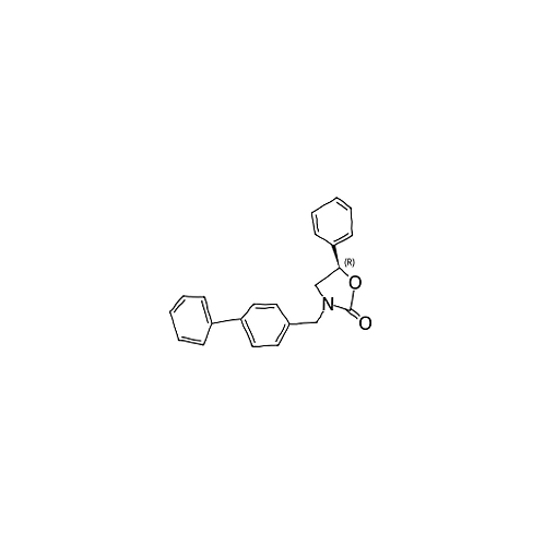 O=C1O[C@H](c2ccccc2)CN1Cc1ccc(-c2ccccc2)cc1